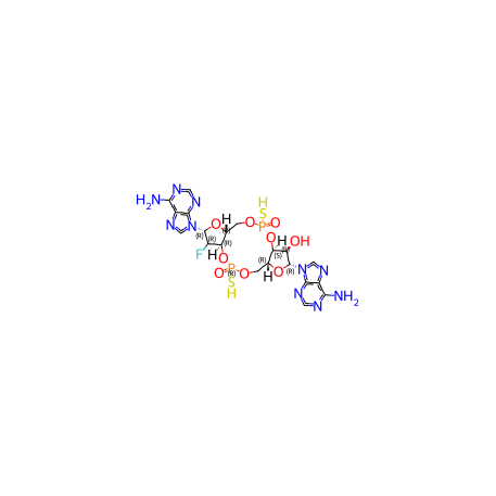 Nc1ncnc2c1ncn2[C@@H]1O[C@@H]2CO[P@@](=O)(S)O[C@H]3[C@@H](F)[C@H](n4cnc5c(N)ncnc54)O[C@@H]3COP(=O)(S)O[C@H]2[C@H]1O